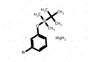 CC(C)(C)[Si](C)(C)Oc1cccc(Br)c1.[MgH2]